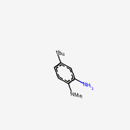 CNc1ccc(C(C)(C)C)cc1N